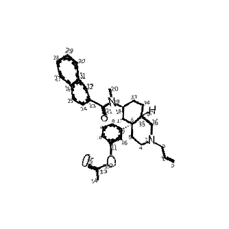 C=CCN1CC[C@@]2(c3cccc(OC(C)=O)c3)C[C@@H](N(C)C(=O)c3ccc4ccccc4c3)CC[C@@H]2C1